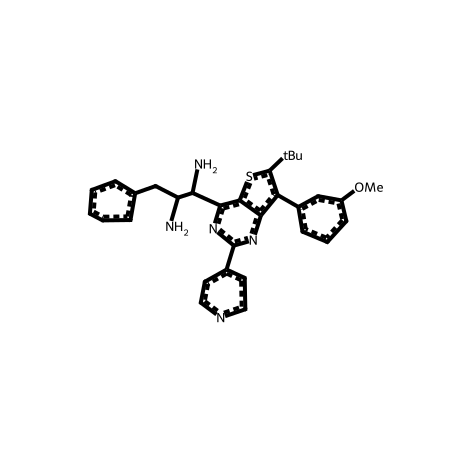 COc1cccc(-c2c(C(C)(C)C)sc3c(C(N)C(N)Cc4ccccc4)nc(-c4ccncc4)nc23)c1